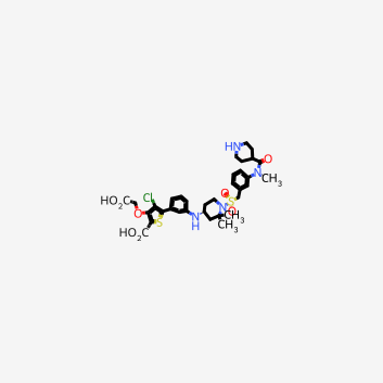 CN(C(=O)C1CCNCC1)c1cccc(CS(=O)(=O)N2CC[C@@H](Nc3cccc(-c4sc(C(=O)O)c(OCC(=O)O)c4Cl)c3)CC2(C)C)c1